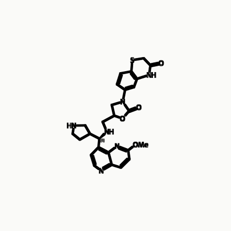 COc1ccc2nccc([C@H](NCC3CN(c4ccc5c(c4)NC(=O)CS5)C(=O)O3)C3CCNC3)c2n1